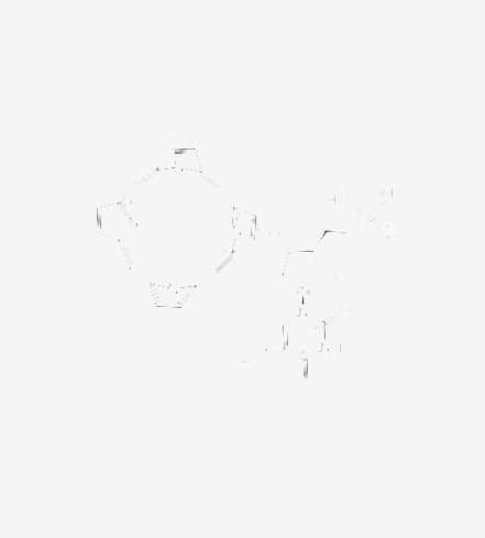 C1=Cc2cc3ccc(cc4nc(cc5ccc(cc1n2)[nH]5)C=C4)[nH]3.Cc1cn([C@H]2C[C@H](O)[C@@H](COP(=O)(O)O)O2)c(=O)[nH]c1=O